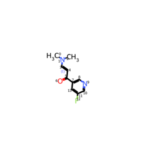 CN(C)/C=C/C(=O)c1cncc(F)c1